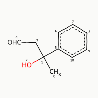 CC(O)(CC=O)c1ccccc1